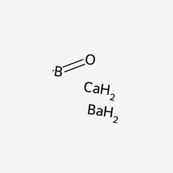 [B]=O.[BaH2].[CaH2]